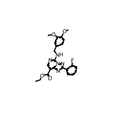 CCOC(=O)c1cnc(NCc2ccc(OC)c(OC)c2)n2nc(-c3ccccc3F)nc12